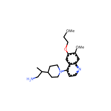 COCCOc1cc2c(N3CCC(C(C)CN)CC3)ccnc2cc1OC